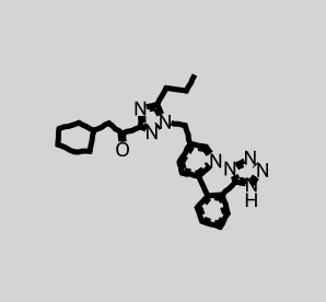 CCCc1nc(C(=O)CC2CCCCC2)nn1Cc1ccc(-c2ccccc2-c2nnn[nH]2)nc1